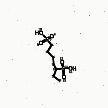 [CH2]CC(CCCCS(=O)(=O)O)S(=O)(=O)O